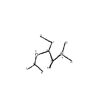 CCC(OC(C)C)C(C)N(C)C